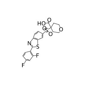 O=C(O)C1(S(=O)(=O)c2ccc3nc(-c4ccc(F)cc4F)sc3c2)CCOCC1